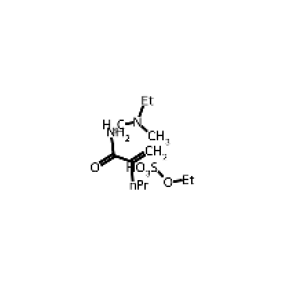 C=C(CCC)C(N)=O.CCN(C)C.CCOS(=O)(=O)O